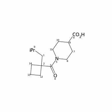 CC(C)CC1(C(=O)N2CCC(C(=O)O)CC2)CCC1